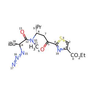 CCOC(=O)c1csc(C(=O)C[C@@H](C(C)C)N(C)C(=O)[C@@H](N=[N+]=[N-])C(C)CC)n1